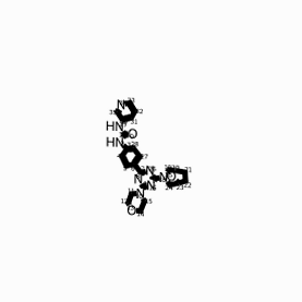 O=C(Nc1ccc(-c2nc(N3CCOCC3)nc(N3CC4CCC(C3)O4)n2)cc1)Nc1cccnc1